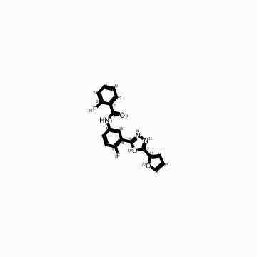 O=C(Nc1ccc(F)c(-c2nnc(-c3ccco3)o2)c1)c1ccccc1F